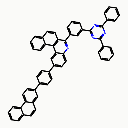 c1ccc(-c2nc(-c3ccccc3)nc(-c3cccc(-c4nc5ccc(-c6ccc(-c7ccc8c(ccc9ccccc98)c7)cc6)cc5c5c4ccc4ccccc45)c3)n2)cc1